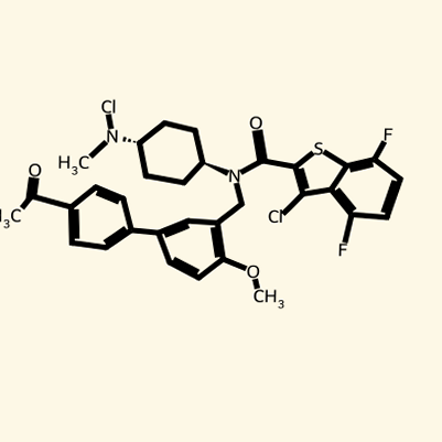 COc1ccc(-c2ccc(C(C)=O)cc2)cc1CN(C(=O)c1sc2c(F)ccc(F)c2c1Cl)[C@H]1CC[C@H](N(C)Cl)CC1